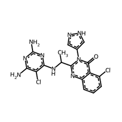 CC(Nc1nc(N)nc(N)c1Cl)c1nc2cccc(Cl)c2c(=O)n1-c1cn[nH]c1